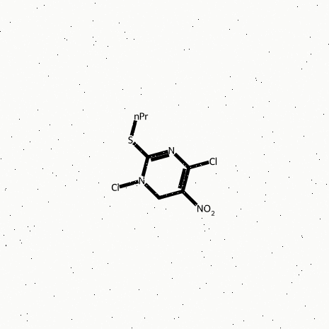 CCCSC1=NC(Cl)=C([N+](=O)[O-])CN1Cl